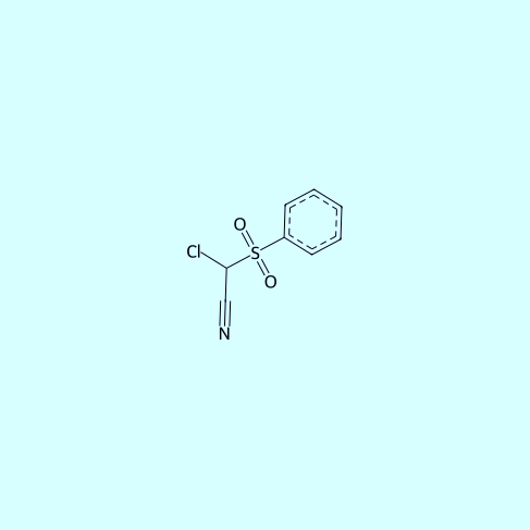 N#CC(Cl)S(=O)(=O)c1ccccc1